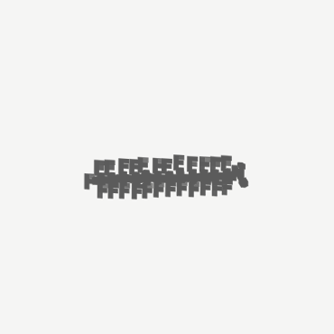 CN(C)C(F)(F)C(F)(F)C(F)(F)C(F)(F)C(F)(F)C(F)(F)C(F)(F)C(F)(F)C(F)(F)C(F)(F)C(F)(F)C(F)(F)F